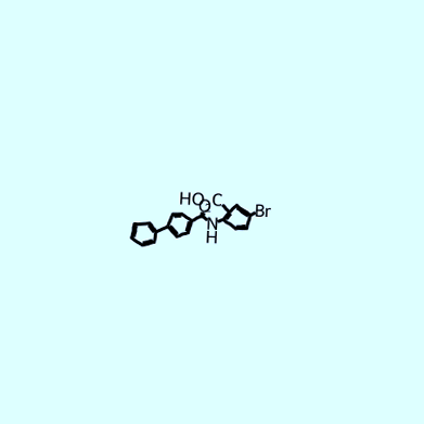 O=C(Nc1ccc(Br)cc1C(=O)O)c1ccc(-c2ccccc2)cc1